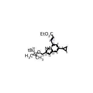 CCOC(=O)/C=C/c1cc(C2CC2)cc2cc(CO[Si](C)(C)C(C)(C)C)nn12